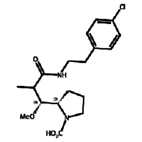 CO[C@H](C(C)C(=O)NCCc1ccc(Cl)cc1)[C@@H]1CCCN1C(=O)O